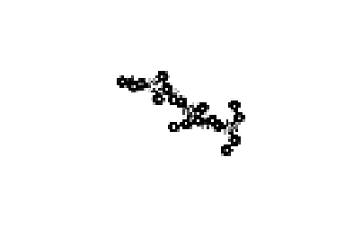 c1ccc(-c2cccc(-c3nc(-c4cccc(-c5ccccc5)c4)nc(-c4ccc5c(ccc6c7ccc(-c8ccc(-c9ccccc9)cc8-c8nc(-c9ccccc9)nc(-c9ccc%10c(ccc%11c%12ccc(-c%13ccccc%13-c%13nc(-c%14ccccc%14)nc(-c%14ccc%15c(ccc%16c%17ccccc%17oc%15%16)c%14)n%13)cc%12oc%10%11)c9)n8)cc7oc56)c4)n3)c2)cc1